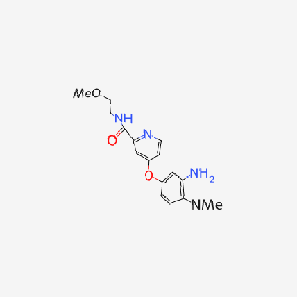 CNc1ccc(Oc2ccnc(C(=O)NCCOC)c2)cc1N